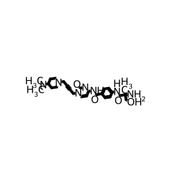 CN(C)C1CCN(CC#CCn2ccc(NC(=O)c3ccc(NC(=O)C(C)(N)CO)cc3)nc2=O)CC1